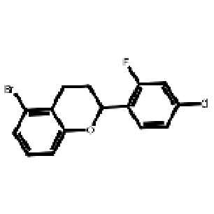 Fc1cc(Cl)ccc1C1CCc2c(Br)cccc2O1